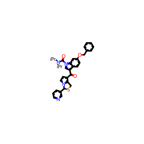 CC(C)N(C(=O)n1cc(C(=O)c2ccn3c2CSC3c2cccnc2)c2ccc(OCc3ccccc3)cc21)C(C)C